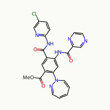 COC(=O)c1cc(C(=O)Nc2ccc(Cl)cn2)c(NC(=O)c2cnccn2)cc1N1C=CC=CC=N1